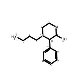 CCCCN1CCNC(O)C1c1ccccc1